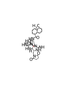 Cc1cccc2c(C(=O)NC3CN4C(=N)N[C@@H](CN5C(=O)CCC5=O)[C@@H]5NC(=N)NC54C3(O)O)cccc12